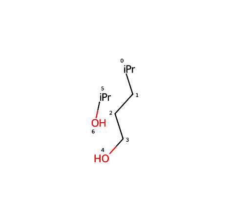 CC(C)CCCO.CC(C)O